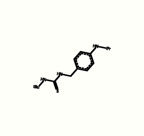 CC(C)Nc1ccc(CNC(=S)NC(C)(C)C)cc1